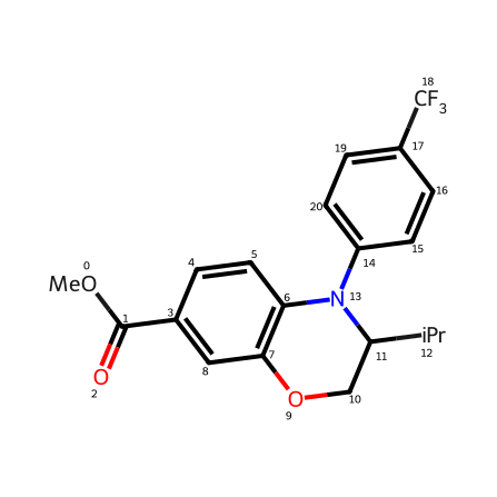 COC(=O)c1ccc2c(c1)OCC(C(C)C)N2c1ccc(C(F)(F)F)cc1